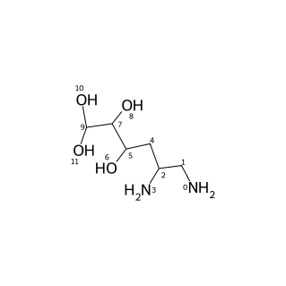 NCC(N)CC(O)C(O)C(O)O